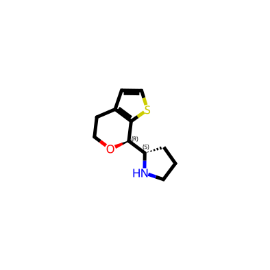 c1cc2c(s1)[C@@H]([C@@H]1CCCN1)OCC2